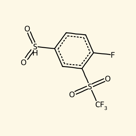 O=[SH](=O)c1ccc(F)c(S(=O)(=O)C(F)(F)F)c1